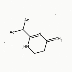 C=C1CCNC(C(C(C)=O)C(C)=O)=N1